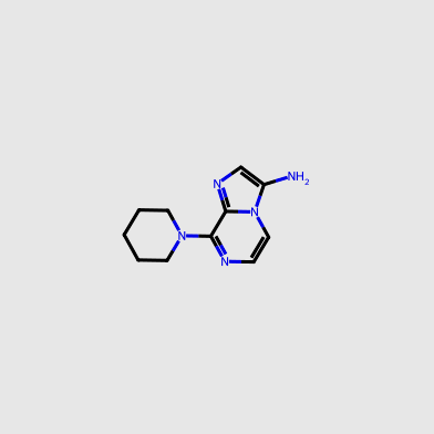 Nc1cnc2c(N3CCCCC3)nccn12